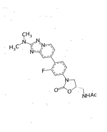 CC(=O)NC[C@H]1CN(c2ccc(-c3ccn4nc(N(C)C)nc4c3)c(F)c2)C(=O)O1